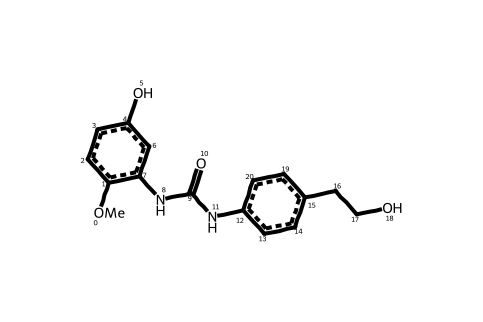 COc1ccc(O)cc1NC(=O)Nc1ccc(CCO)cc1